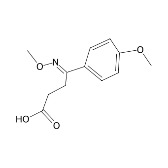 CO/N=C(\CCC(=O)O)c1ccc(OC)cc1